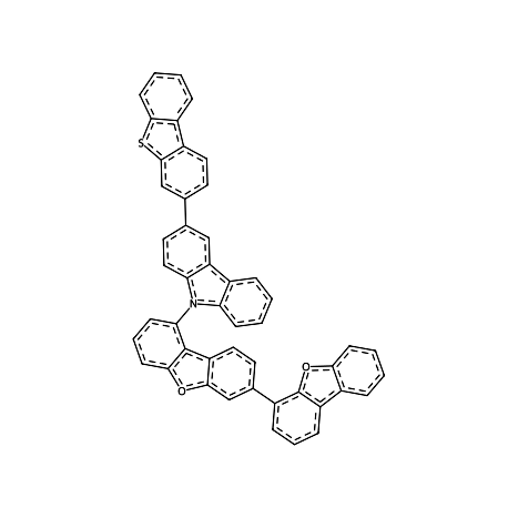 c1ccc2c(c1)oc1c(-c3ccc4c(c3)oc3cccc(-n5c6ccccc6c6cc(-c7ccc8c(c7)sc7ccccc78)ccc65)c34)cccc12